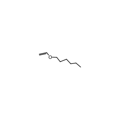 C=COCCCCCC